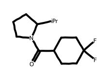 CC(C)C1CCCN1C(=O)C1CCC(F)(F)CC1